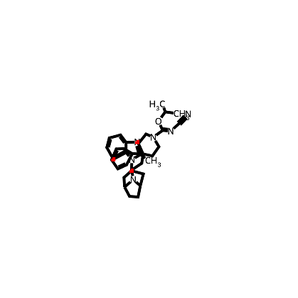 Cc1nc2ccccc2n1C1CC2CCC(C1)N2CCC1(c2ccccc2)CCN(/C(=N/C#N)OC(C)C)CC1